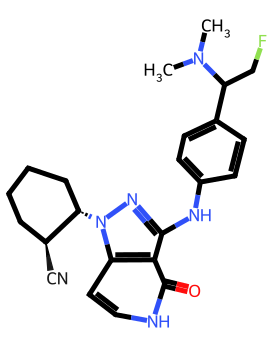 CN(C)C(CF)c1ccc(Nc2nn([C@H]3CCCC[C@@H]3C#N)c3cc[nH]c(=O)c23)cc1